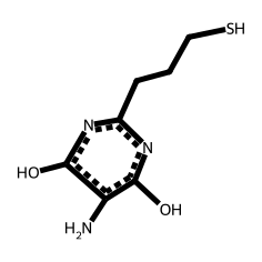 Nc1c(O)nc(CCCS)nc1O